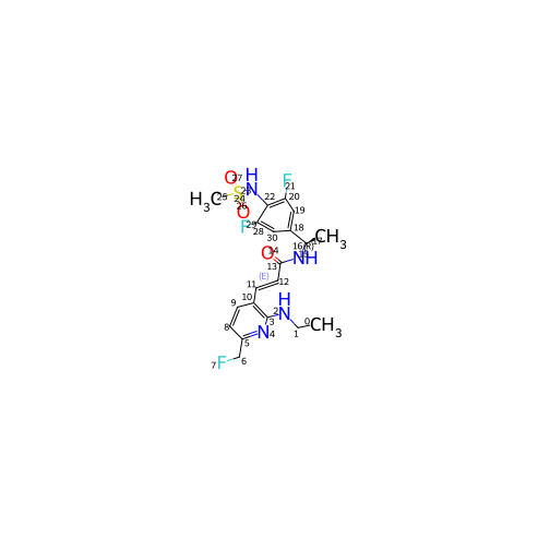 CCNc1nc(CF)ccc1/C=C/C(=O)N[C@H](C)c1cc(F)c(NS(C)(=O)=O)c(F)c1